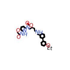 CCOc1cccc(-c2cccc(CNCCC3CN(c4ccc5c(n4)NC(=O)CO5)C(=O)O3)c2)c1